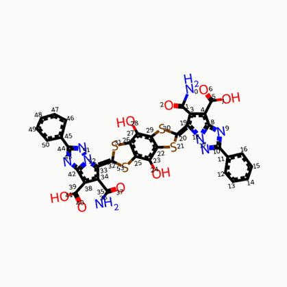 NC(=O)c1c(C(=O)O)c2nc(-c3ccccc3)nn2c1=C1Sc2c(O)c3c(c(O)c2S1)SC(=c1c(C(N)=O)c(C(=O)O)c2nc(-c4ccccc4)nn12)S3